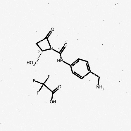 NCc1ccc(NC(=O)N2C(=O)C[C@H]2C(=O)O)cc1.O=C(O)C(F)(F)F